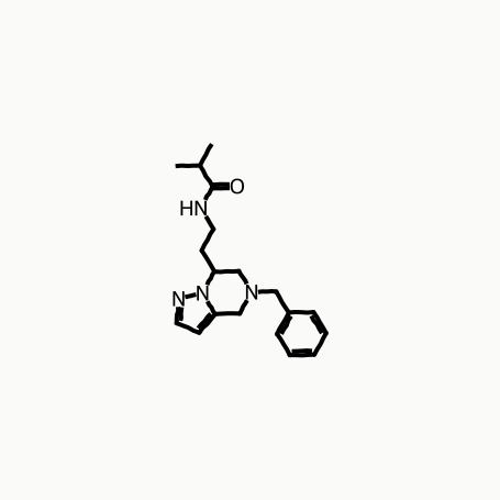 CC(C)C(=O)NCCC1CN(Cc2ccccc2)Cc2ccnn21